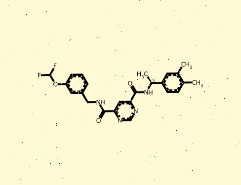 Cc1ccc([C@H](C)NC(=O)c2cc(C(=O)NCc3cccc(OC(F)F)c3)ncn2)cc1C